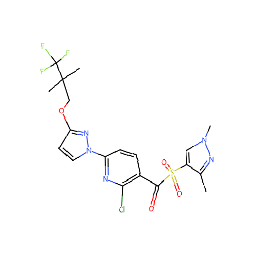 Cc1nn(C)cc1S(=O)(=O)C(=O)c1ccc(-n2ccc(OCC(C)(C)C(F)(F)F)n2)nc1Cl